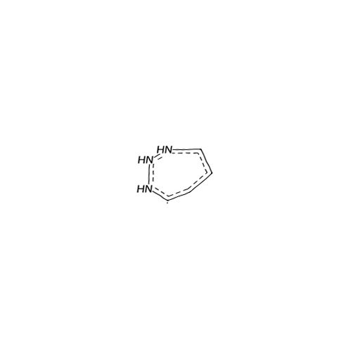 [c]1ccc[nH][nH][nH]1